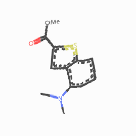 COC(=O)c1cc2c(N(C)C)cccc2s1